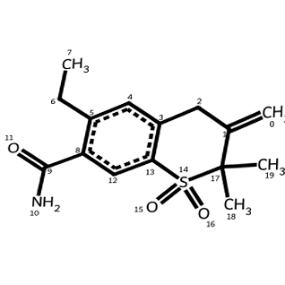 C=C1Cc2cc(CC)c(C(N)=O)cc2S(=O)(=O)C1(C)C